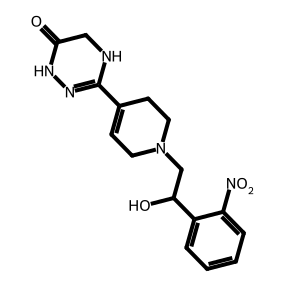 O=C1CNC(C2=CCN(CC(O)c3ccccc3[N+](=O)[O-])CC2)=NN1